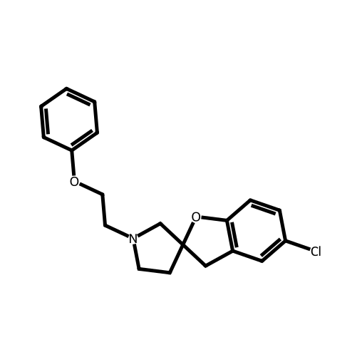 Clc1ccc2c(c1)CC1(CCN(CCOc3ccccc3)C1)O2